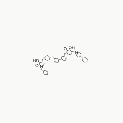 O=c1c(O)c(CN2CCC(Cc3cccc(-c4cccc(Cn5ccc(CN6CCC(C7CCCCC7)CC6)c(O)c5=O)c4)c3)CC2)ccn1Cc1ccccc1